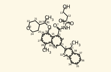 Cc1c(-c2cc(C(=O)NS(=O)(=O)CCO)c3c(O[C@H](C)C4CCOCC4)ccc(C)c3n2)sc2ccccc12